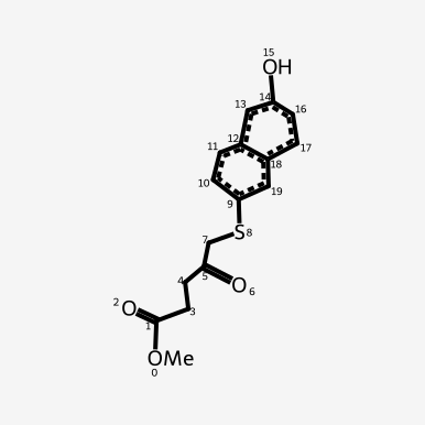 COC(=O)CCC(=O)CSc1ccc2cc(O)ccc2c1